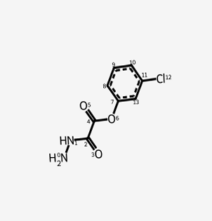 NNC(=O)C(=O)Oc1cccc(Cl)c1